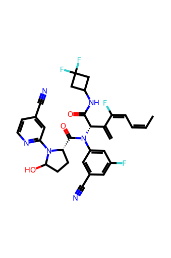 C=C(/C(F)=C\C=C/C)[C@@H](C(=O)NC1CC(F)(F)C1)N(C(=O)[C@@H]1CCC(O)N1c1cc(C#N)ccn1)c1cc(F)cc(C#N)c1